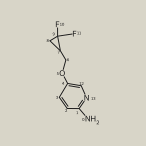 Nc1ccc(OCC2CC2(F)F)cn1